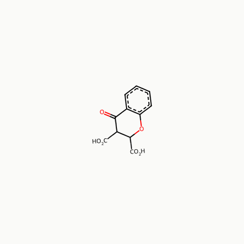 O=C(O)C1Oc2ccccc2C(=O)C1C(=O)O